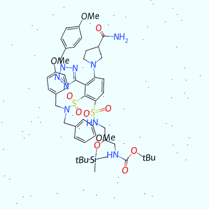 COc1ccc(CN(Cc2ccc(OC)cc2)S(=O)(=O)c2c(S(=O)(=O)NCC(CNC(=O)OC(C)(C)C)O[Si](C)(C)C(C)(C)C)ccc(N3CCC(C(N)=O)C3)c2-c2nnn(Cc3ccc(OC)cc3)n2)cc1